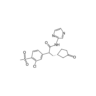 CS(=O)(=O)c1ccc(C(C[C@@H]2CCC(=O)C2)C(=O)Nc2cnccn2)cc1Cl